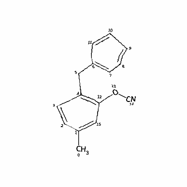 Cc1ccc(Cc2ccccc2)c(OC#N)c1